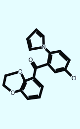 O=C(c1cc(Cl)ccc1-n1cccc1)c1cccc2c1OCCO2